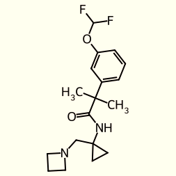 CC(C)(C(=O)NC1(CN2CCC2)CC1)c1cccc(OC(F)F)c1